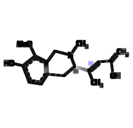 C=C(O)/C=C(\C)[C@@H]1Cc2ccc(O)c(OC)c2CN1C